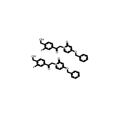 O=C(Cn1ccc(OCc2ccccc2)cc1=O)c1ccc(CO)c(F)c1.O=C(Cn1ccc(OCc2ccccc2)cc1=O)c1ccc(CO)c(F)c1